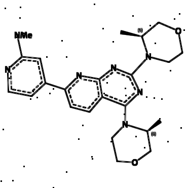 CNc1cc(-c2ccc3c(N4CCOC[C@@H]4C)nc(N4CCOC[C@@H]4C)nc3n2)ccn1